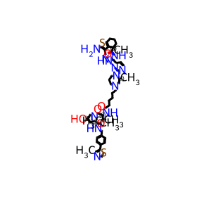 Cc1ncsc1-c1ccc(CNC(=O)[C@@H]2C[C@@H](O)CN2C(=O)[C@@H](NC(=O)CCCCCN2CCCN(c3nccc(C(=N)NC(=O)[C@@]4(C)CCCc5sc(N)c(C#N)c54)n3)[C@@H](C)C2)C(C)(C)C)cc1